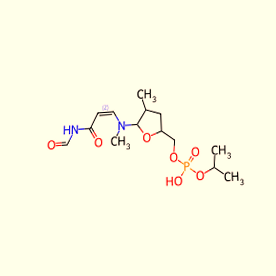 CC(C)OP(=O)(O)OCC1CC(C)C(N(C)/C=C\C(=O)NC=O)O1